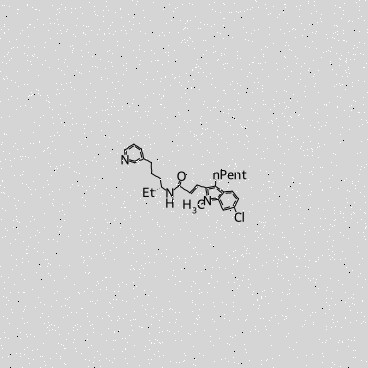 CCCCCc1c(/C=C/C(=O)N[C@H](CC)CCCc2cccnc2)n(C)c2cc(Cl)ccc12